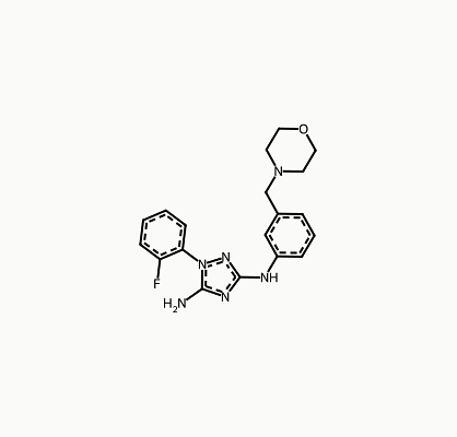 Nc1nc(Nc2cccc(CN3CCOCC3)c2)nn1-c1ccccc1F